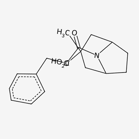 CC1(C(=O)O)CC2CCC(C1)N2C(=O)OCc1ccccc1